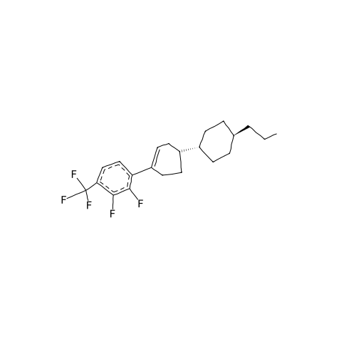 CCC[C@H]1CC[C@H](C2CC=C(c3ccc(C(F)(F)F)c(F)c3F)CC2)CC1